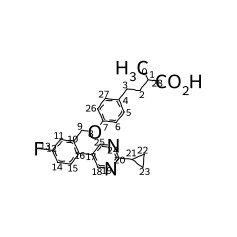 CC(CCc1ccc(OCc2cc(F)ccc2-c2cnc(C3CC3)nc2)cc1)C(=O)O